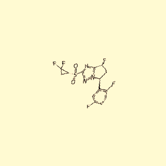 O=S(=O)(c1nc2n(n1)[C@H](c1cc(F)ccc1F)C[C@@H]2F)[C@@H]1CC1(F)F